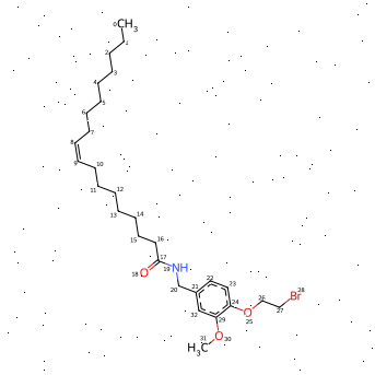 CCCCCCCC/C=C\CCCCCCCC(=O)NCc1ccc(OCCBr)c(OC)c1